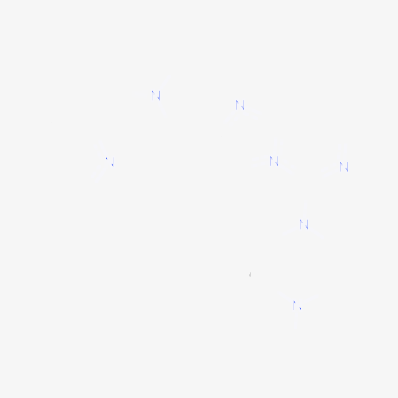 C[C@@H]1CN(c2nccc3nc(CN(C)[C@H]4CCCc5cccnc54)cn23)C[C@H](C)N1C